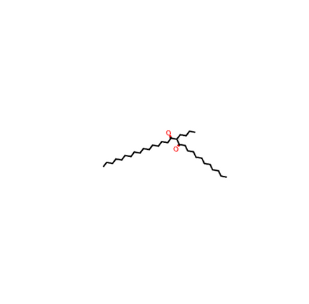 CCCCCCCCCCCCCCCC(=O)[C](CCCC)C(=O)CCCCCCCCCCC